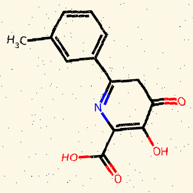 Cc1cccc(C2=NC(C(=O)O)=C(O)C(=O)C2)c1